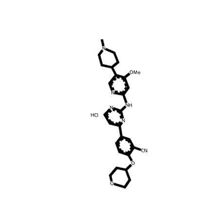 COc1cc(Nc2nccc(-c3ccc(OC4CCOCC4)c(C#N)c3)n2)ncc1C1CCN(C)CC1.Cl